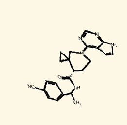 CC(NC(=O)[C@H]1CCN(c2ncnc3[nH]ccc23)CC12CC2)c1ccc(C#N)cc1